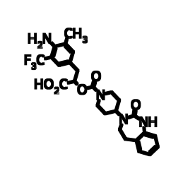 Cc1cc(CC(OC(=O)N2CCC(N3CCc4ccccc4NC3=O)CC2)C(=O)O)cc(C(F)(F)F)c1N